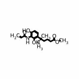 C=CC(=O)Nc1c(O)ccc(C(C)(C)CCCC(=O)OC)c1O